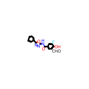 O=Cc1cc(C(=O)Nc2nnc(-c3ccccc3)o2)cc(F)c1O